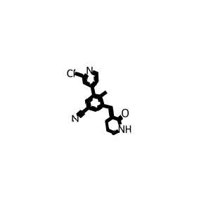 Cc1c(/C=C2\CCCNC2=O)cc(C#N)cc1-c1ccnc(Cl)c1